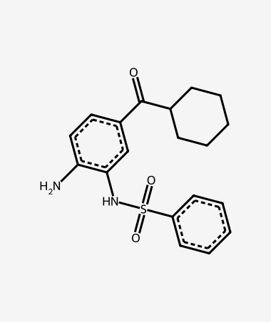 Nc1ccc(C(=O)C2CCCCC2)cc1NS(=O)(=O)c1ccccc1